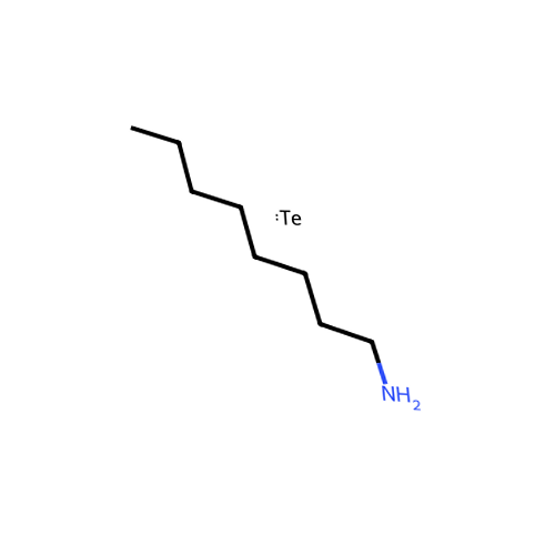 CCCCCCCCN.[Te]